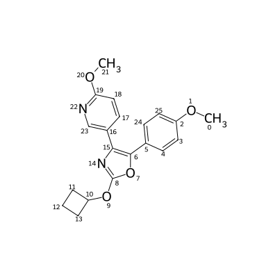 COc1ccc(-c2oc(OC3CCC3)nc2-c2ccc(OC)nc2)cc1